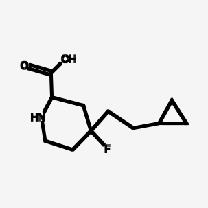 O=C(O)C1CC(F)(CCC2CC2)CCN1